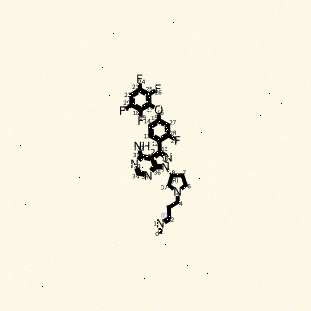 C/N=C/CCN1CC[C@@H](n2nc(-c3ccc(Oc4c(F)c(F)cc(F)c4F)cc3F)c3c(N)ncnc32)C1